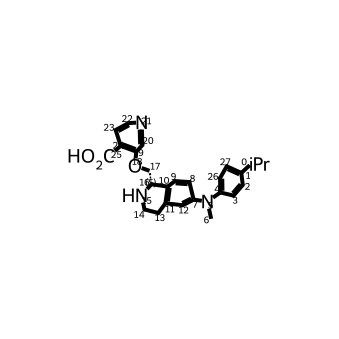 CC(C)c1ccc(N(C)c2ccc3c(c2)CCN[C@@H]3COc2cnccc2C(=O)O)cc1